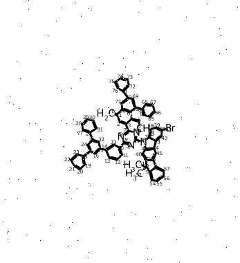 C=C(/C=C(\C=C/C)c1nc(-c2cccc(-c3cc(-c4ccccc4)cc(-c4ccccc4)c3)c2)nc(-n2c3ccc(Br)cc3c3cc4c(cc32)C(C)(C)c2ccccc2-4)n1)c1cc(-c2ccccc2)cc(-c2ccccc2)c1